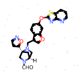 O=CN1C[C@]2(c3ccno3)C[C@H]1CN2Cc1coc2cc(Oc3nc4ncccc4s3)ccc12